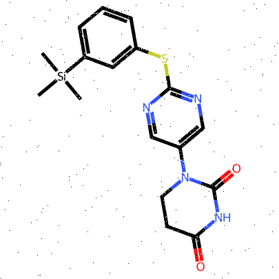 C[Si](C)(C)c1cccc(Sc2ncc(N3CCC(=O)NC3=O)cn2)c1